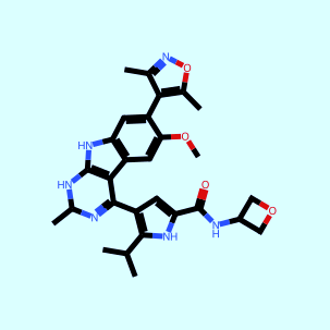 COc1cc2c3c([nH]c2cc1-c1c(C)noc1C)NC(C)N=C3c1cc(C(=O)NC2COC2)[nH]c1C(C)C